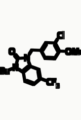 COc1ccc(Cn2c(=O)n(C(C)(C)C)c3ccc(C(F)(F)F)cc32)cc1Cl